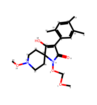 COCON1C(=O)C(c2cc(C)c(C)cc2C)=C(O)C12CCN(OC)CC2